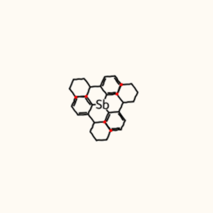 c1cc[c]([Sb]([c]2ccccc2C2CCCCC2)[c]2ccccc2C2CCCCC2)c(C2CCCCC2)c1